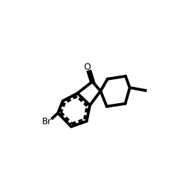 CC1CCC2(CC1)C(=O)c1cc(Br)ccc12